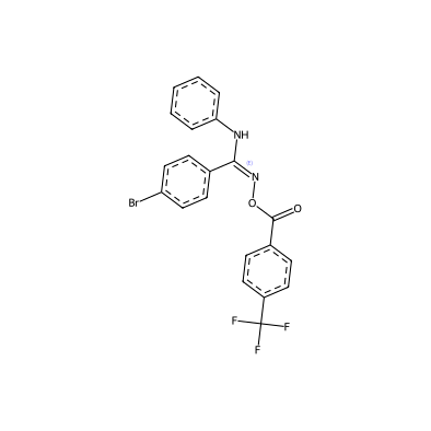 O=C(O/N=C(/Nc1ccccc1)c1ccc(Br)cc1)c1ccc(C(F)(F)F)cc1